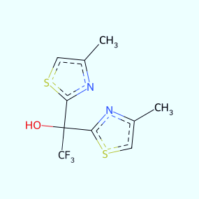 Cc1csc(C(O)(c2nc(C)cs2)C(F)(F)F)n1